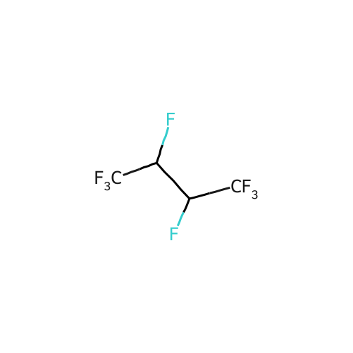 FC(C(F)C(F)(F)F)C(F)(F)F